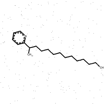 CCCCCCCCCCCCC(C)c1ccccn1